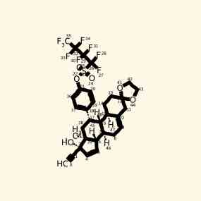 C#C[C@]1(O)C=C[C@H]2[C@@H]3CC=C4CC5(CC[C@@H]4[C@H]3[C@@H](c3ccc(OS(=O)(=O)C(F)(F)C(F)(F)C(F)(F)C(F)(F)F)cc3)C[C@@]21C)OCCO5